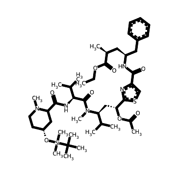 CCOC(=O)[C@@H](C)C[C@@H](Cc1ccccc1)NC(=O)c1csc([C@@H](C[C@@H](C(C)C)N(C)C(=O)[C@@H](NC(=O)C2C[C@H](O[Si](C)(C)C(C)(C)C)CCN2C)C(C)C)OC(C)=O)n1